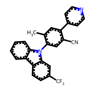 Cc1cc(-c2ccncc2)c(C#N)cc1-n1c2ccccc2c2ccc(C(F)(F)F)cc21